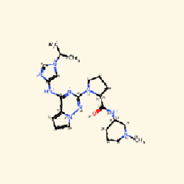 CC(C)n1cnc(Nc2nc(N3CCC[C@H]3C(=O)N[C@@H]3CCCN(C)C3)nn3cccc23)c1